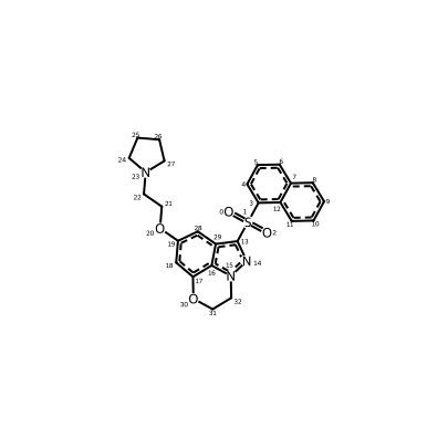 O=S(=O)(c1cccc2ccccc12)c1nn2c3c(cc(OCCN4CCCC4)cc13)OCC2